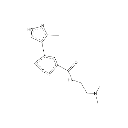 Cc1n[nH]cc1-c1c[c]cc(C(=O)NCCN(C)C)c1